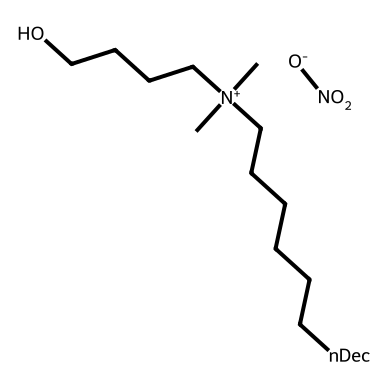 CCCCCCCCCCCCCCCC[N+](C)(C)CCCCO.O=[N+]([O-])[O-]